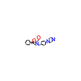 CN1CCN(c2ccc(CN3C[C@@H](c4ccccc4)OC3C=O)cc2)CC1